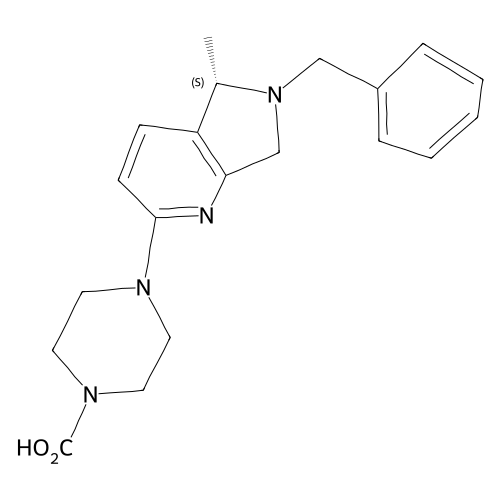 C[C@H]1c2ccc(N3CCN(C(=O)O)CC3)nc2CN1Cc1ccccc1